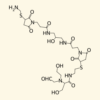 NCSC1CC(=O)N(CCC(=O)NCC(O)CNC(=O)CCN2C(=O)CC(SCCNC(=O)C(CO)N(CC=O)CCO)C2=O)C1=O